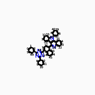 c1ccc(-c2nc(-c3ccccc3)nc(-c3ccc(-c4nc5ccccc5c5c4c4ccccc4n5-c4ccccc4)c4ccccc34)n2)cc1